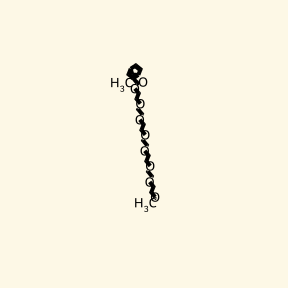 COCCOCCOCCOCCOCCOCCOCCOC(=O)C1(C)CC2C=CC1C2